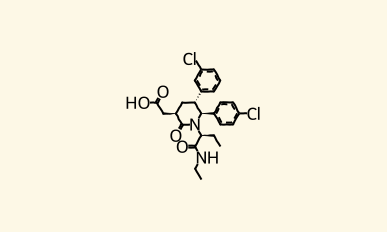 CCNC(=O)[C@H](CC)N1C(=O)[C@@H](CC(=O)O)C[C@H](c2cccc(Cl)c2)[C@H]1c1ccc(Cl)cc1